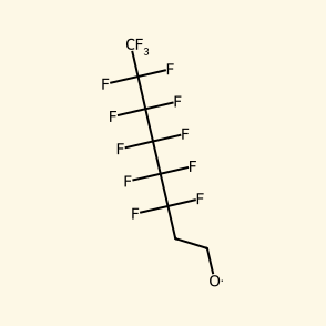 [O]CCC(F)(F)C(F)(F)C(F)(F)C(F)(F)C(F)(F)C(F)(F)F